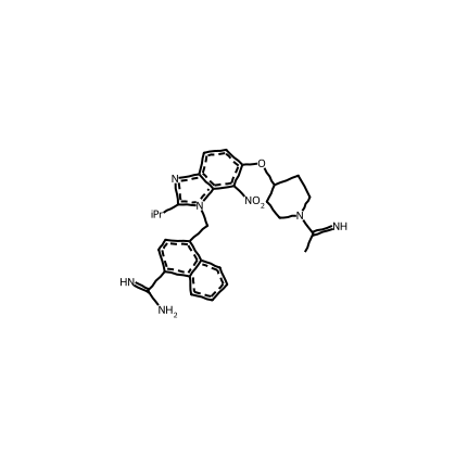 CC(=N)N1CCC(Oc2ccc3nc(C(C)C)n(Cc4ccc(C(=N)N)c5ccccc45)c3c2[N+](=O)[O-])CC1